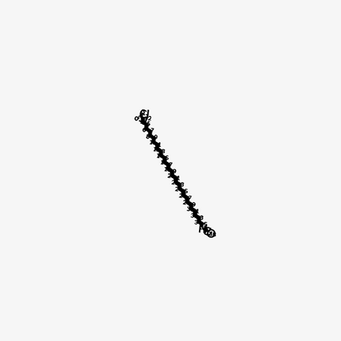 C[Si](C)(Cl)CCCCCCCCCCCCCCCCCCCCCCCCCCCCCCCCN=C=O